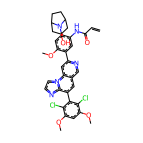 C=CC(=O)Nc1cc(-c2cc3c(cn2)cc(-c2c(Cl)c(OC)cc(OC)c2Cl)c2nccn23)c(OC)cc1N1C2CCC1CC(O)C2